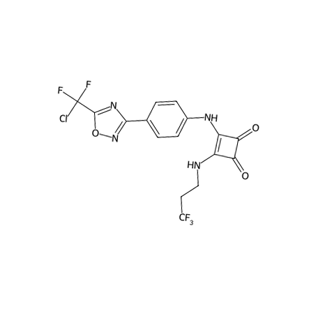 O=c1c(NCCC(F)(F)F)c(Nc2ccc(-c3noc(C(F)(F)Cl)n3)cc2)c1=O